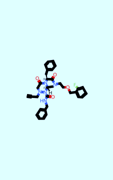 C#CCN1CC(=O)N2[C@@H](Cc3ccccc3)C(=O)N(CCOCc3ccccc3F)C[C@@H]2N1C(=O)NCc1ccccc1